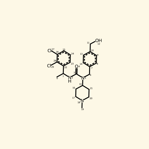 CC(NC(=O)N(Cc1ccc(CO)cc1)C1CCN(C)CC1)c1cccc(Cl)c1Cl